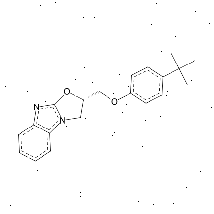 CC(C)(C)c1ccc(OC[C@@H]2Cn3c(nc4ccccc43)O2)cc1